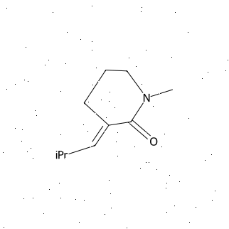 CC(C)/C=C1\CCCN(C)C1=O